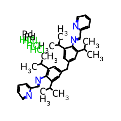 CC(C)c1cc(Cc2cc(C(C)C)c(N=Cc3ccccn3)c(C(C)C)c2)cc(C(C)C)c1N=Cc1ccccn1.Cl.Cl.Cl.Cl.[Pd].[Pd]